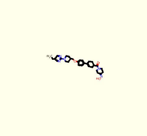 CCc1cnc(N2CCC(COc3ccc(C4=CCC(C(=O)N5CCC(=NO)CC5)CC4)cc3)CC2)nc1